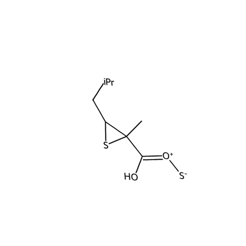 CC(C)CC1SC1(C)C(O)=[O+][S-]